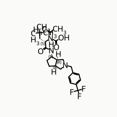 CC(C)N(C(=O)O)[C@@H](CC(C)(C)C)C(=O)N[C@H]1CC[C@@H]2CN(Cc3ccc(C(F)(F)F)cc3)C[C@@H]21